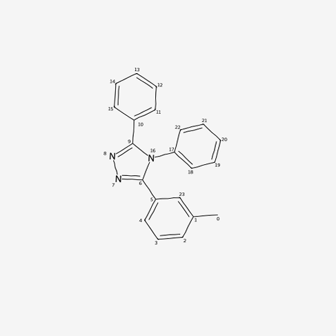 Cc1cccc(-c2nnc(-c3ccccc3)n2-c2ccccc2)c1